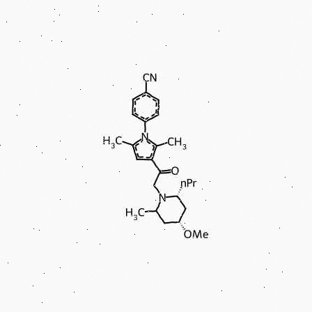 CCC[C@@H]1C[C@H](OC)CC(C)N1CC(=O)c1cc(C)n(-c2ccc(C#N)cc2)c1C